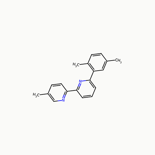 Cc1ccc(-c2cccc(-c3cc(C)ccc3C)n2)nc1